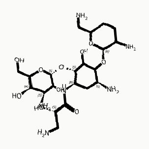 NCC1CCC(N)[C@@H](OC2C(O)[C@@H](O[C@H]3OC(CO)[C@H](O)[C@H](N)C3O)[C@H](NC(=O)[C@@H](O)CN)C[C@@H]2N)O1